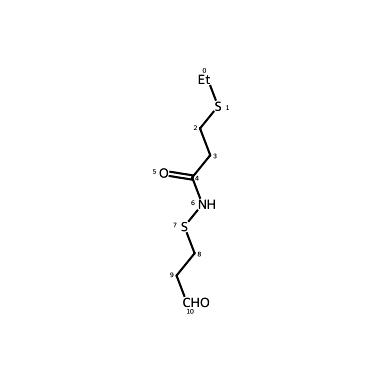 CCSCCC(=O)NSCCC=O